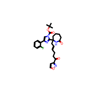 CC(C)(C)OC(=O)n1cc(-c2ccccc2F)nc1C1(C/C=C/CCC(=O)c2ccon2)CCCCC(=O)N1